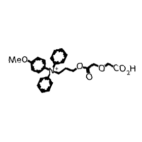 COc1ccc([N+](CCCOC(=O)COCC(=O)O)(c2ccccc2)c2ccccc2)cc1